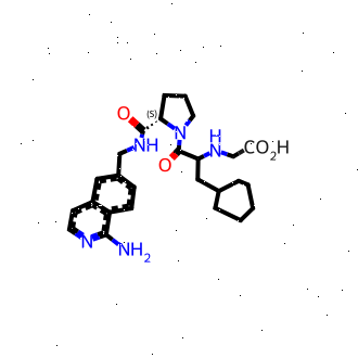 Nc1nccc2cc(CNC(=O)[C@@H]3CCCN3C(=O)C(CC3CCCCC3)NCC(=O)O)ccc12